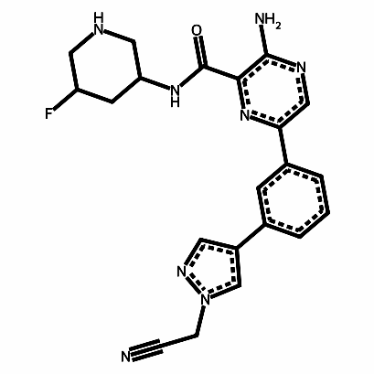 N#CCn1cc(-c2cccc(-c3cnc(N)c(C(=O)NC4CNCC(F)C4)n3)c2)cn1